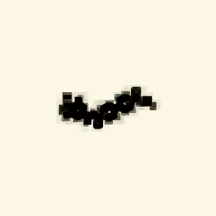 Cc1cc(C(C)[CH]C(=O)N2CCC(C3CCN(C(N)=O)CC3)CC2)cc2cn[nH]c12